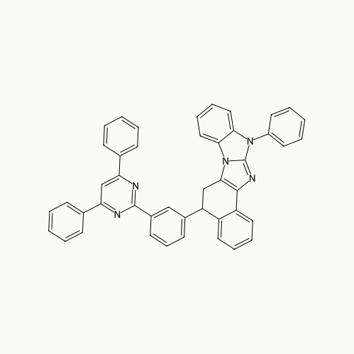 c1ccc(-c2cc(-c3ccccc3)nc(-c3cccc(C4Cc5c(nc6n(-c7ccccc7)c7ccccc7n56)-c5ccccc54)c3)n2)cc1